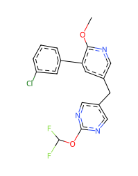 COc1ncc(Cc2cnc(OC(F)F)nc2)cc1-c1cccc(Cl)c1